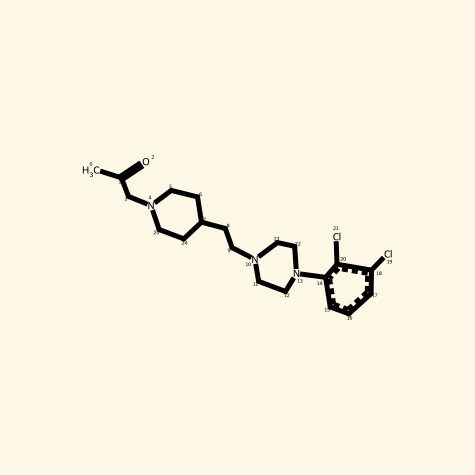 CC(=O)CN1CCC(CCN2CCN(c3cccc(Cl)c3Cl)CC2)CC1